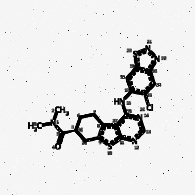 CN(C)C(=O)[C@H]1CCc2c(sc3ncnc(Nc4cc5snnc5cc4Cl)c23)C1